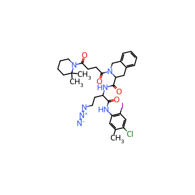 Cc1cc(NC(=O)C(CCN=[N+]=[N-])NC(=O)C2Cc3ccccc3CN2C(=O)CCC(=O)N2CCCCC2(C)C)c(I)cc1Cl